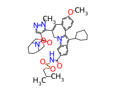 COc1ccc2c(c1)C=C(c1c(C(=O)N3C4CCCC3COC4)cnn1C)Cn1c-2c(C2CCCCC2)c2ccc(C(=O)NS(=O)(=O)CC(C)C)cc21